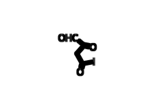 O=CC(=O)CC(=O)I